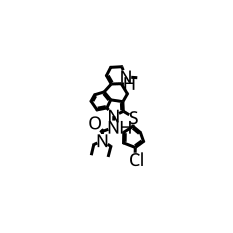 CCN(CC)C(=O)Nn1c(Sc2ccc(Cl)cc2)c2c3c(cccc31)C1=CCCN(C)[C@@H]1C2